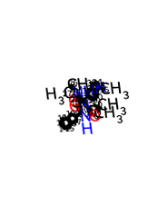 CC(C)C[C@@H]1C(=O)NC(C2Cc3ccccc3C2)C(=O)N1[C@@H](C(=O)NC(C)C)c1ccc2c(ccn2C)c1